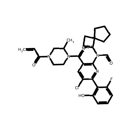 C=CC(=O)N1CCN(/C(=N/C)c2cc(Cl)c(-c3c(O)cccc3F)nc2N(C=O)C2CCC23CCCC3)C(C)C1